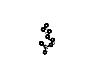 c1ccc(-c2nc(-c3ccccc3)nc(-c3ccc4sc5cccc(Cc6ccc7oc8c(-n9c%10ccccc%10c%10ccccc%109)cccc8c7c6)c5c4c3)n2)cc1